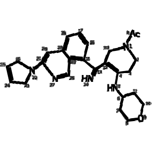 CC(=O)N1CCC(NC2CCOCC2)=C(C(=N)c2cccc3cc(N4CC=CC4)ncc23)C1